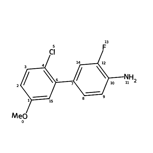 COc1ccc(Cl)c(-c2ccc(N)c(F)c2)c1